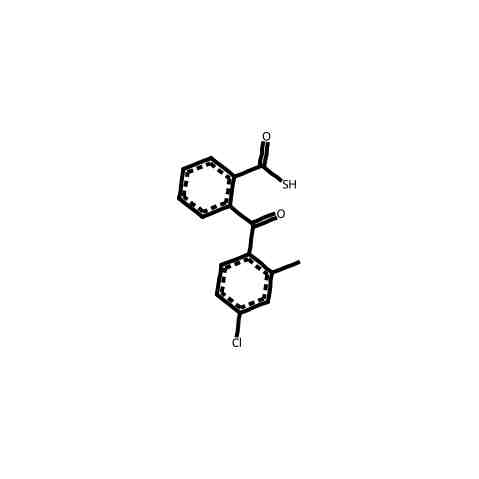 Cc1cc(Cl)ccc1C(=O)c1ccccc1C(=O)S